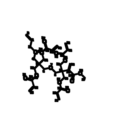 C=CCOCC(COCC(COC(=O)C=C)(COC(=O)C=C)C(=C)C(=O)OC)(COC(=O)C=C)COC(=O)C=C